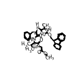 COC(=O)CNC(=O)[C@H](NC(=O)[C@@H](Cc1ccccc1)NC(=O)C(C)NC(=O)OCC1c2ccccc2-c2ccccc21)C(C)C